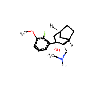 COc1cccc([C@@]2(O)C[C@H]3CC[C@H](C3)[C@@H]2CN(C)C)c1F